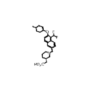 CC1CCC(Oc2ccc3cc(CN4CCC[C@H](CC(=O)O)C4)ccc3c2C(F)F)CC1